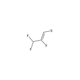 FC(=C[S])C(F)F